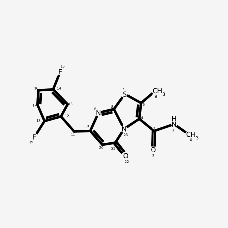 CNC(=O)c1c(C)sc2nc(Cc3cc(F)ccc3F)cc(=O)n12